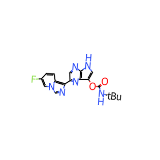 CC(C)(C)NC(=O)Oc1c[nH]c2ncc(-c3ncn4cc(F)ccc34)nc12